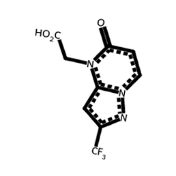 O=C(O)Cn1c(=O)ccn2nc(C(F)(F)F)cc12